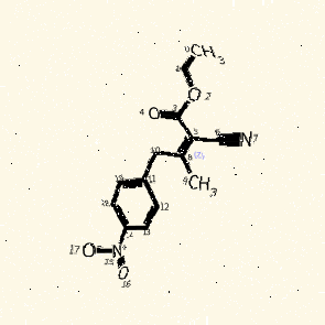 CCOC(=O)/C(C#N)=C(/C)Cc1ccc([N+](=O)[O-])cc1